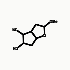 COC1CC2C(CC(O)C2C#N)O1